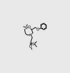 COC(CCN1CCC[Si](C)(C)OC(COc2ccccc2)C1)[SiH](C)C